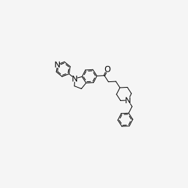 O=C(CCC1CCN(Cc2ccccc2)CC1)c1ccc2c(c1)CCN2c1ccncc1